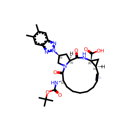 Cc1cc2nn([C@H]3C[C@H]4C(=O)N[C@]5(C(=O)O)C[C@H]5/C=C\CCCCC[C@H](NC(=O)OC(C)(C)C)C(=O)N4C3)nc2cc1C